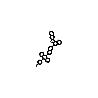 Ic1ccc(-c2c3ccccc3c(-c3ccc4cc(-c5cc6ccccc6c6c5sc5cc7ccccc7cc56)ccc4c3)c3ccccc23)cc1